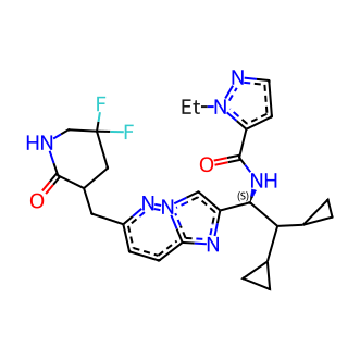 CCn1nccc1C(=O)N[C@H](c1cn2nc(CC3CC(F)(F)CNC3=O)ccc2n1)C(C1CC1)C1CC1